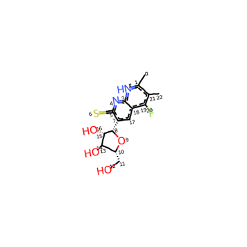 Cc1[nH]c2nc(=S)c([C@@H]3O[C@H](CO)C(O)[C@@H]3O)cc-2c(F)c1C